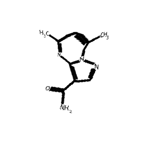 Cc1cc(C)n2ncc(C(N)=O)c2n1